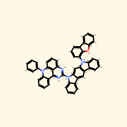 c1ccc(N2c3ccccc3-c3nc(-n4c5ccccc5c5cc6c7ccccc7n(-c7cccc8c7oc7ccccc78)c6cc54)nc4cccc2c34)cc1